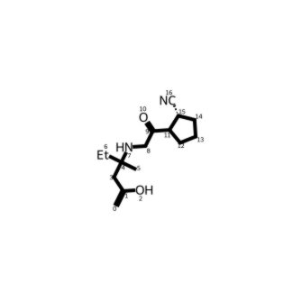 C=C(O)CC(C)(CC)NCC(=O)C1CCC[C@H]1C#N